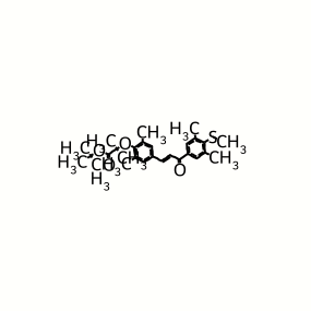 CSc1c(C)cc(C(=O)C=Cc2cc(C)c(OC(C)(C)C(=O)OC(C)(C)C)c(C)c2)cc1C